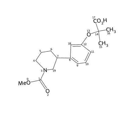 COC(=O)N1CCCC(c2cccc(OC(C)(C)C(=O)O)c2)C1